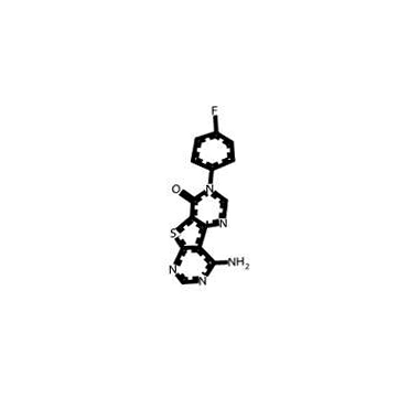 Nc1ncnc2sc3c(=O)n(-c4ccc(F)cc4)cnc3c12